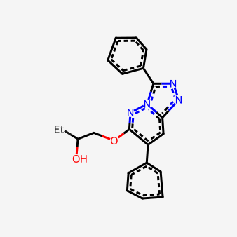 CCC(O)COc1nn2c(-c3ccccc3)nnc2cc1-c1ccccc1